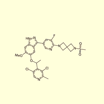 COc1cc2[nH]nc(-c3cnc(N4CC5(C4)CN(S(C)(=O)=O)C5)c(F)c3)c2cc1OC(C)c1c(Cl)cnc(C)c1Cl